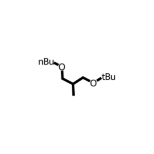 CCCCOCC(C)COC(C)(C)C